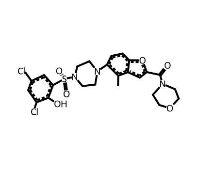 Cc1c(N2CCN(S(=O)(=O)c3cc(Cl)cc(Cl)c3O)CC2)ccc2oc(C(=O)N3CCOCC3)cc12